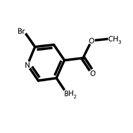 Bc1cnc(Br)cc1C(=O)OC